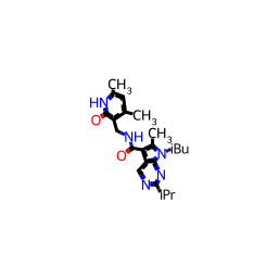 CCC(C)n1c(C)c(C(=O)NCc2c(C)cc(C)[nH]c2=O)c2cnc(C(C)C)nc21